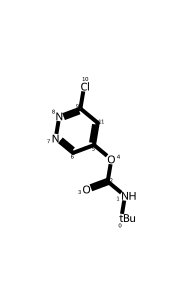 CC(C)(C)NC(=O)Oc1cnnc(Cl)c1